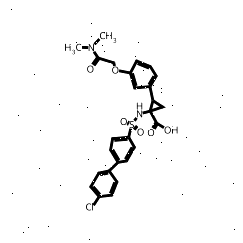 CN(C)C(=O)COc1cccc(C2CC2(NS(=O)(=O)c2ccc(-c3ccc(Cl)cc3)cc2)C(=O)O)c1